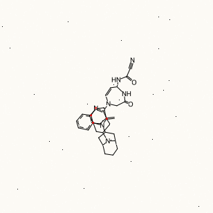 C=C1C(N2C=CC(NC(=O)C#N)NC(=O)C2)=Nc2ccccc2N1C1CC2CCCC(C1)N2C1CC2CCCC(C2)C1